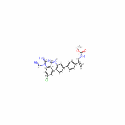 CN(c1cccc(-c2ccc(C3(CNC(=O)OC(C)(C)C)CC3)cc2)c1)c1nc(=N)n(C=N)c2cc(Cl)ccc12